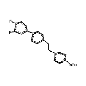 CCCCc1ccc(CCc2ccc(-c3ccc(F)c(F)c3)cc2)cc1